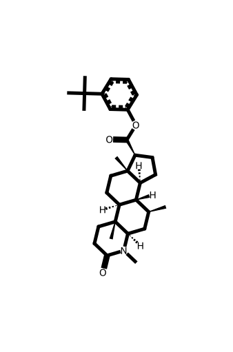 C[C@H]1C[C@H]2N(C)C(=O)CC[C@]2(C)[C@H]2CC[C@]3(C)[C@@H](C(=O)Oc4cccc(C(C)(C)C)c4)CC[C@H]3[C@H]12